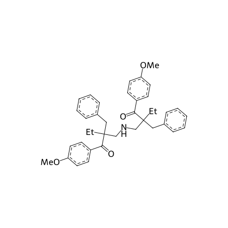 CCC(CNCC(CC)(Cc1ccccc1)C(=O)c1ccc(OC)cc1)(Cc1ccccc1)C(=O)c1ccc(OC)cc1